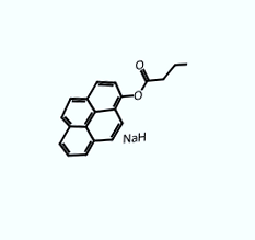 CCCC(=O)Oc1ccc2ccc3cccc4ccc1c2c34.[NaH]